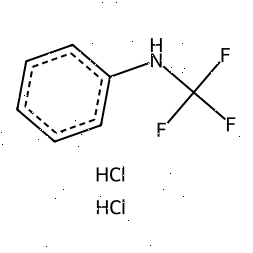 Cl.Cl.FC(F)(F)Nc1ccccc1